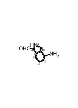 Nc1cccc2c(C=O)[nH]cc12